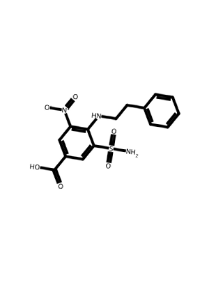 NS(=O)(=O)c1cc(C(=O)O)cc([N+](=O)[O-])c1NCCc1ccccc1